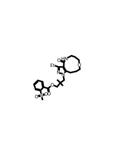 CCc1nn(CC(C)(C)COC(=O)c2ccccc2S(C)(=O)=O)c2c1C(=O)NCCCOCCC2